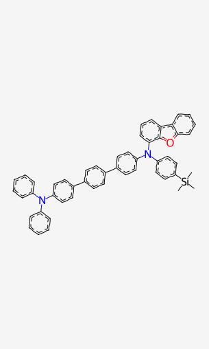 C[Si](C)(C)c1ccc(N(c2ccc(-c3ccc(-c4ccc(N(c5ccccc5)c5ccccc5)cc4)cc3)cc2)c2cccc3c2oc2ccccc23)cc1